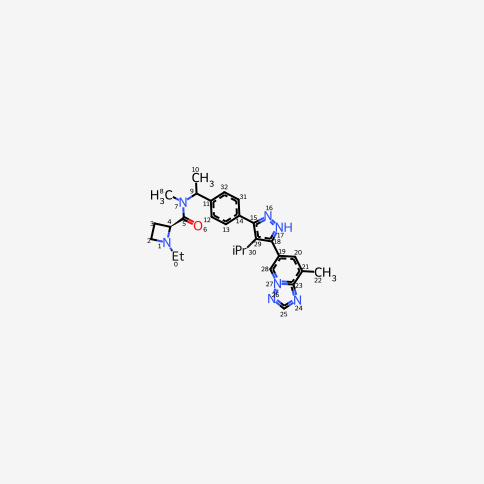 CCN1CC[C@H]1C(=O)N(C)C(C)c1ccc(-c2n[nH]c(-c3cc(C)c4ncnn4c3)c2C(C)C)cc1